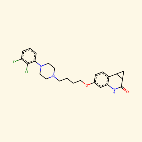 O=C1Nc2cc(OCCCCN3CCN(c4cccc(F)c4Cl)CC3)ccc2C2CC12